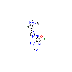 Cc1nc2c(F)cc(-c3ccnc(Nc4cc(N)c(N(C)CCN(C)C)cc4OC(F)F)n3)cc2n1C(C)C